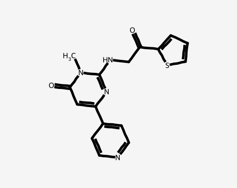 Cn1c(NCC(=O)c2cccs2)nc(-c2ccncc2)cc1=O